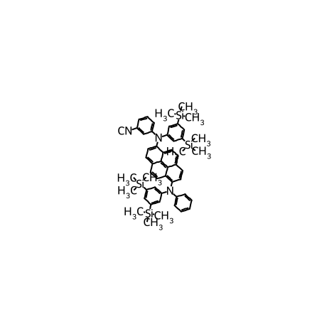 [C-]#[N+]c1cccc(N(c2cc([Si](C)(C)C)cc([Si](C)(C)C)c2)c2ccc3ccc4c(N(c5ccccc5)c5cc([Si](C)(C)C)cc([Si](C)(C)C)c5)ccc5ccc2c3c54)c1